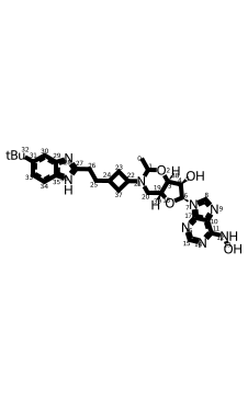 CC1O[C@H]2[C@@H](O)[C@H](n3cnc4c(NO)ncnc43)O[C@@H]2CN1C1CC(CCc2nc3cc(C(C)(C)C)ccc3[nH]2)C1